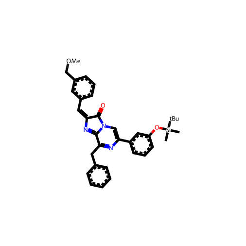 COCc1cccc(C=C2N=C3C(Cc4ccccc4)=NC(c4cccc(O[Si](C)(C)C(C)(C)C)c4)=CN3C2=O)c1